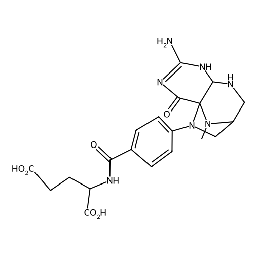 CN1C2CNC3NC(N)=NC(=O)C31N(c1ccc(C(=O)NC(CCC(=O)O)C(=O)O)cc1)C2